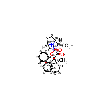 CC1(C(C(=O)N2C[C@@H]3CC[C@H]([C@H]2C(=O)O)N3C(=O)OCc2ccccc2)c2ccccc2)C=CC=CC1